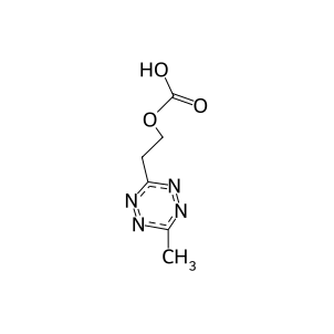 Cc1nnc(CCOC(=O)O)nn1